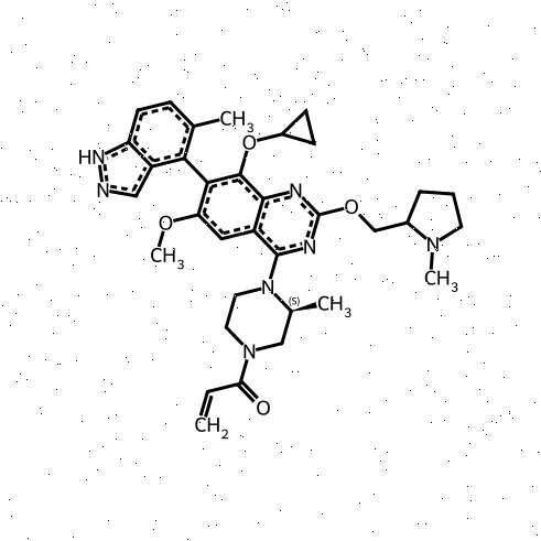 C=CC(=O)N1CCN(c2nc(OCC3CCCN3C)nc3c(OC4CC4)c(-c4c(C)ccc5[nH]ncc45)c(OC)cc23)[C@@H](C)C1